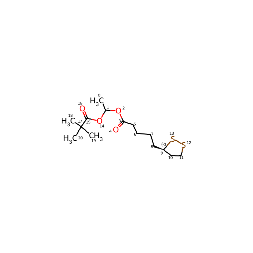 CC(OC(=O)CCCC[C@@H]1CCSS1)OC(=O)C(C)(C)C